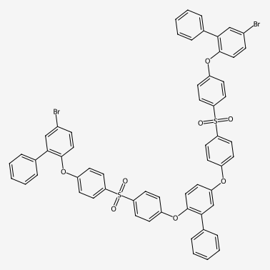 O=S(=O)(c1ccc(Oc2ccc(Oc3ccc(S(=O)(=O)c4ccc(Oc5ccc(Br)cc5-c5ccccc5)cc4)cc3)c(-c3ccccc3)c2)cc1)c1ccc(Oc2ccc(Br)cc2-c2ccccc2)cc1